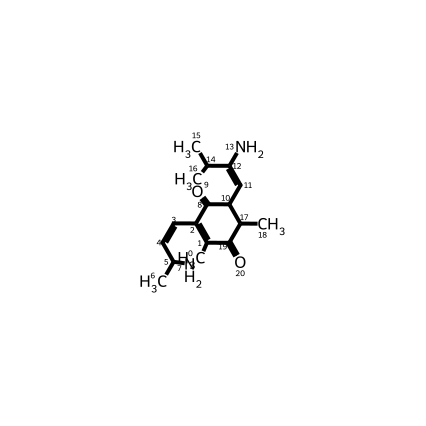 CC1=C(/C=C\C(C)N)C(=O)C(/C=C(/N)C(C)C)C(C)C1=O